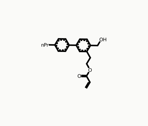 C=CC(=O)OCCc1cc(-c2ccc(CCC)cc2)ccc1CO